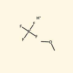 COC.F[B-](F)(F)F.[H+]